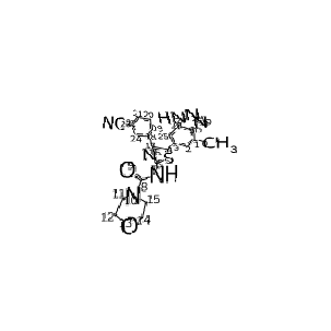 Cc1cc(-c2sc(NC(=O)N3CCOCC3)nc2-c2cccc(C#N)c2)cc2[nH]nnc12